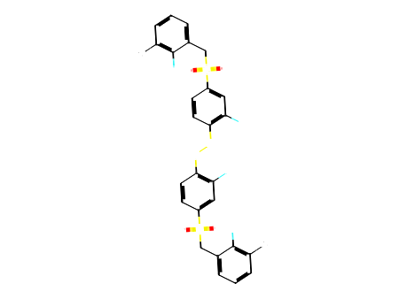 O=[N+]([O-])c1cccc(CS(=O)(=O)c2ccc(SSc3ccc(S(=O)(=O)Cc4cccc([N+](=O)[O-])c4F)cc3F)c(F)c2)c1F